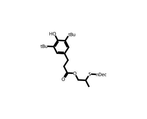 CCCCCCCCCCSC(C)COC(=O)CCc1cc(C(C)(C)C)c(O)c(C(C)(C)C)c1